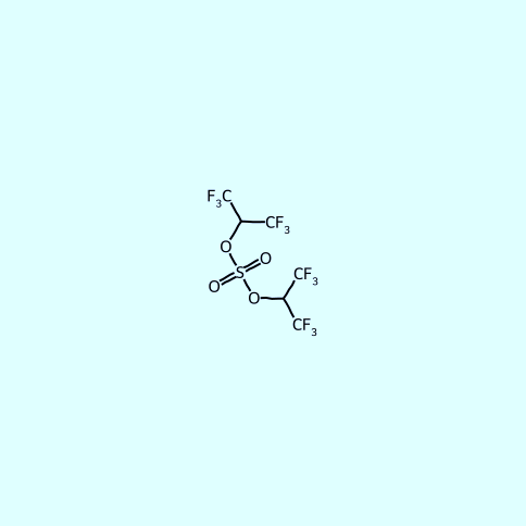 O=S(=O)(OC(C(F)(F)F)C(F)(F)F)OC(C(F)(F)F)C(F)(F)F